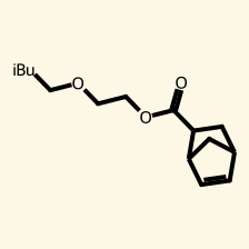 CCC(C)COCCOC(=O)C1CC2C=CC1C2